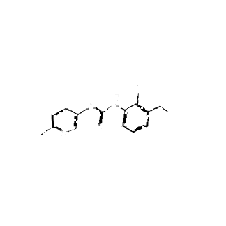 Cc1ccc(NC(=O)Nc2cccc(CO)c2F)cn1